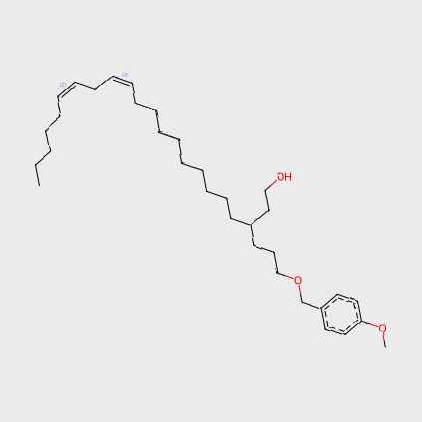 CCCCC/C=C\C/C=C\CCCCCCCCCC(CCO)CCCOCc1ccc(OC)cc1